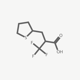 O=C(O)C(CC1CCCS1)C(F)(F)F